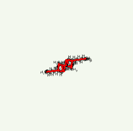 CCCCOC1C2=CCC[C@@H]1C(=O)NCCN(C(O)CNC(=O)CNC(=O)CNC(=O)CNC(=O)CNC(=O)OC(C)(C)C)CCNC(=O)[C@@H]1CCC=C(C(=O)NCCN(CCN3CCNC(=O)C4=CCC[C@H](C(=O)NCCN([C@@H](O)CNC(=O)CNC(=O)CNC(=O)CNC(=O)CNC(=O)OC(C)(C)C)CCNC(=O)[C@@H]5CCC=C(C(=O)NCC3)C5OCCCC)C4OCCCC)CCNC2=O)C1OCCCC